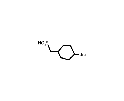 CC(C)(C)C1CCC(CS(=O)(=O)O)CC1